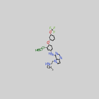 CNCCn1ccc2ncnc(Nc3ccc(Oc4cccc(OC(F)(F)F)c4)c(Cl)c3)c21.Cl.Cl